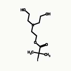 CC(C)(I)C(=O)OCCN(CCO)CCO